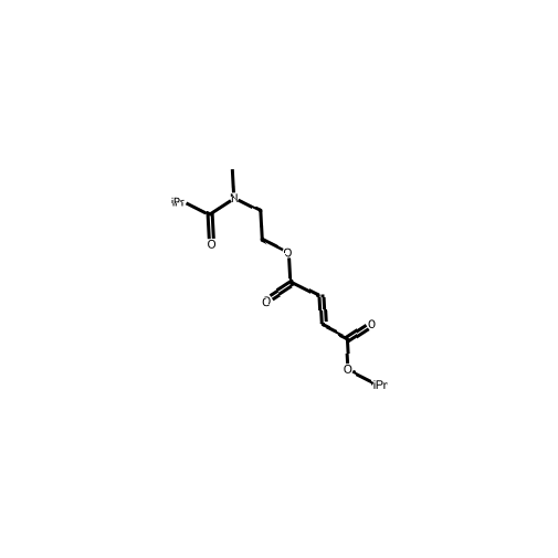 CC(C)OC(=O)/C=C/C(=O)OCCN(C)C(=O)C(C)C